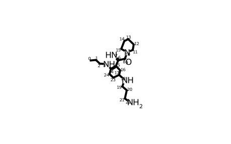 CCCNC1=C(C(=N)C(=O)N2CCCCC2)CC(NCCCN)CC1